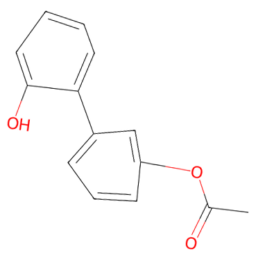 CC(=O)Oc1cccc(-c2ccccc2O)c1